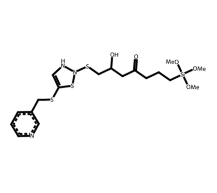 CO[Si](CCCC(=O)CC(O)CSN1NC=C(SCc2cccnc2)S1)(OC)OC